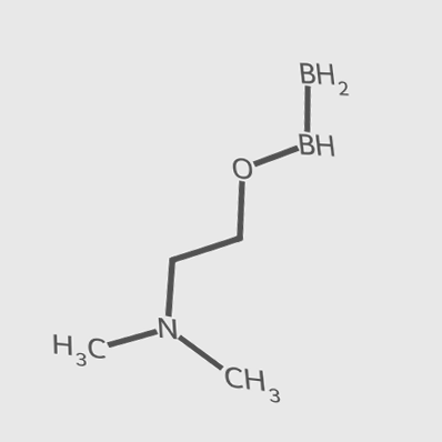 BBOCCN(C)C